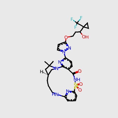 CC1(C)C[C@@H]2CCCNc3cccc(n3)S(=O)(=O)NC(=O)c3ccc(-n4ccc(OCCC(O)C5(C(F)(F)F)CC5)n4)nc3N1C2